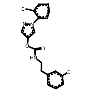 O=C(NCCc1cccc(Cl)c1)Oc1cnn(-c2ccccc2Cl)c1